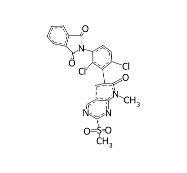 Cn1c(=O)c(-c2c(Cl)ccc(N3C(=O)c4ccccc4C3=O)c2Cl)cc2cnc(S(C)(=O)=O)nc21